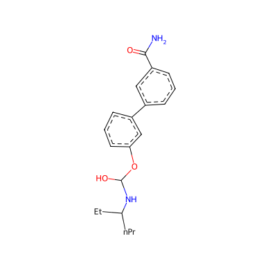 CCCC(CC)NC(O)Oc1cccc(-c2cccc(C(N)=O)c2)c1